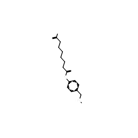 CNCc1ccc(NC(=O)CCCCCCC(=O)O)cc1